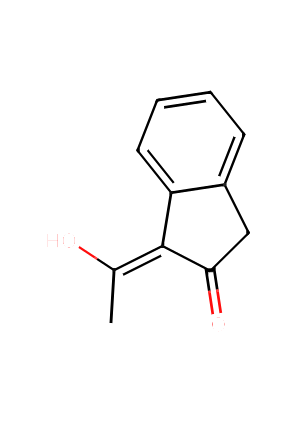 C/C(O)=C1\C(=O)Cc2ccccc21